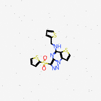 O=S(=O)(c1cccs1)c1nnn2c1nc(NCc1cccs1)c1sccc12